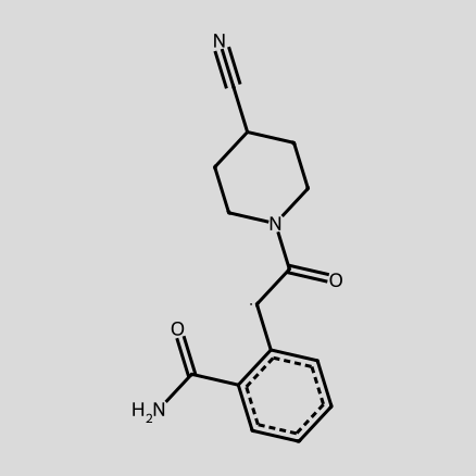 N#CC1CCN(C(=O)[CH]c2ccccc2C(N)=O)CC1